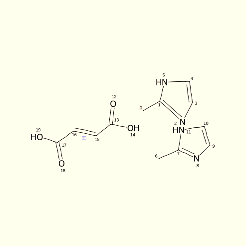 Cc1ncc[nH]1.Cc1ncc[nH]1.O=C(O)/C=C/C(=O)O